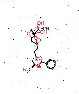 C=C(Br)C[C@H](CC[C@@]12CC3OC(C([C@H](C)O)O1)[C@@H](O)C3O2)OC(=O)c1ccccc1